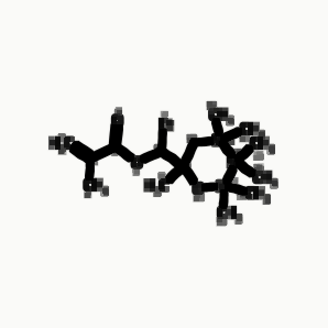 C=C(C)C(=O)OC(CC)C1(C)C[Si](C)(C)[Si](C)(C)[Si](C)(C)O1